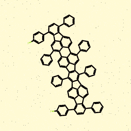 Fc1ccc(-c2ccc(-c3ccccc3)c3c2-c2ccc4c5c(-c6ccccc6)c6c7ccc8c9c(-c%10ccccc%10)cc%10c%11c(ccc(c%12c(-c%13ccccc%13)cc(c6c(-c6ccccc6)c5c5ccc-3c2c45)c7c8%12)c%119)-c2c(-c3ccccc3)ccc(-c3ccc(F)cc3)c2-%10)cc1